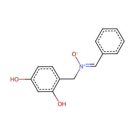 [O-][N+](=Cc1ccccc1)Cc1ccc(O)cc1O